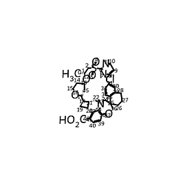 C[C@H](CS(=O)(=O)c1ncccn1)O[C@H]1CCO[C@@H]([C@@H]2CC[C@H]2CN2CC3(CCCc4cc(Cl)ccc43)COc3ccc(C(=O)O)cc32)C1